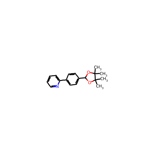 CC1(C)OC(c2ccc(-c3ccccn3)cc2)OC1(C)C